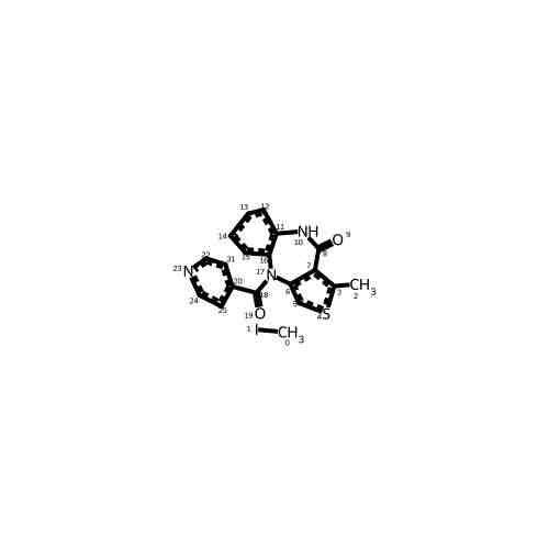 CI.Cc1scc2c1C(=O)Nc1ccccc1N2C(=O)c1ccncc1